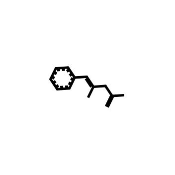 C=C(C)C/C(C)=C/c1ccccc1